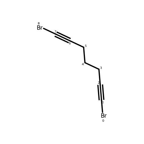 BrC#CCCCC#CBr